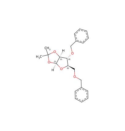 CC1(C)O[C@@H]2O[C@H](COCc3ccccc3)[C@@H](OCc3ccccc3)[C@@H]2O1